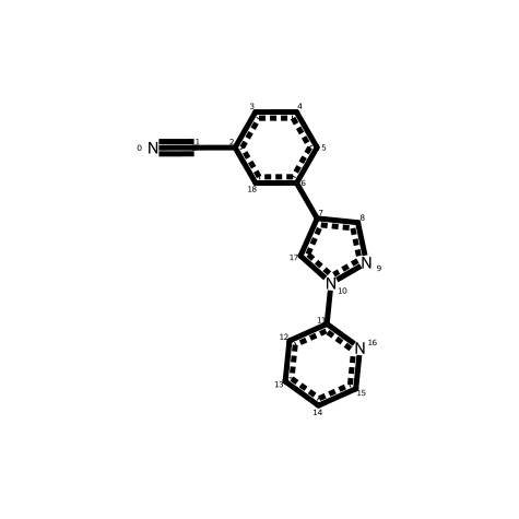 N#Cc1cccc(-c2cnn(-c3ccccn3)c2)c1